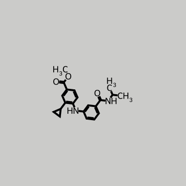 COC(=O)c1ccc(Nc2cccc(C(=O)NC(C)C)c2)c(C2CC2)c1